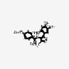 CCOC(=O)c1noc(-c2cc(C(C)C)c(O)cc2O)c1NC(=O)c1ccc(OC)cc1